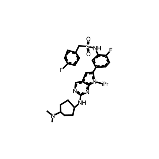 CC(C)n1c(-c2ccc(F)c(NS(=O)(=O)Cc3ccc(F)cc3)c2)cc2cnc(NC3CCC(N(C)C)CC3)nc21